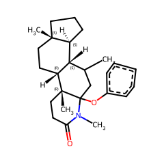 CC1CC2(Oc3ccccc3)N(C)C(=O)CC[C@]2(C)[C@@H]2CC[C@]3(C)CCC[C@H]3[C@H]12